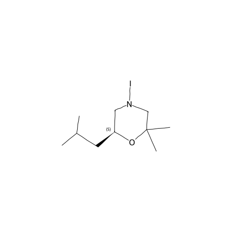 CC(C)C[C@H]1CN(I)CC(C)(C)O1